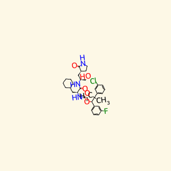 CC(C)(c1cccc(Cl)c1)[C@H](OC(=O)N[C@@H](CC1CCCCC1)C(=O)N[C@H](CO)C[C@@H]1CCNC1=O)c1cccc(F)c1